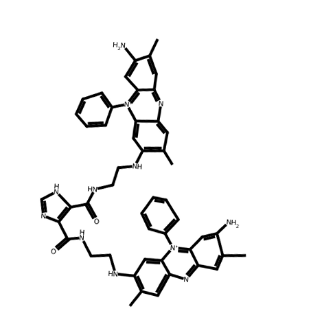 Cc1cc2nc3cc(C)c(NCCNC(=O)c4nc[nH]c4C(=O)NCCNc4cc5c(cc4C)nc4cc(C)c(N)cc4[n+]5-c4ccccc4)cc3[n+](-c3ccccc3)c2cc1N